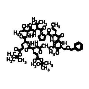 CCC[C@H](NC(=O)[C@@H]1CCCN1C(=O)[C@@H](NC(=O)[C@@H](NC(=O)[C@H](CCC(=O)OC(C)(C)C)NC(=O)[C@H](CCC(=O)OC(C)(C)C)NC(C)=O)C(C)C)C(C)C)C(=O)C(=O)N[C@@H](COCc1ccccc1)C(=O)NC